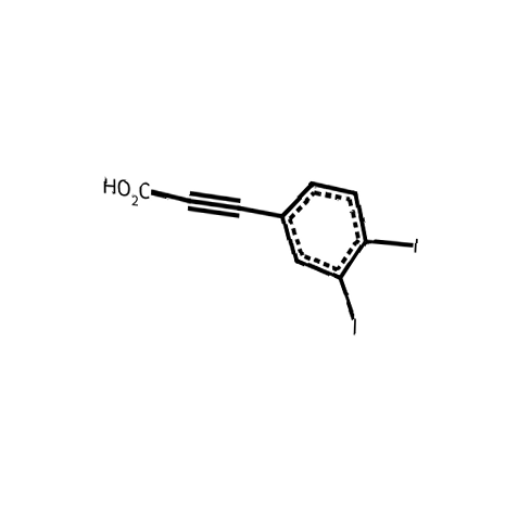 O=C(O)C#Cc1ccc(I)c(I)c1